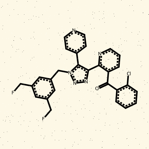 O=C(c1ccccc1Cl)c1cccnc1-c1nnn(Cc2cc(CF)cc(CF)c2)c1-c1ccncc1